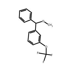 COC(c1ccccc1)c1cccc(OC(F)(F)F)c1